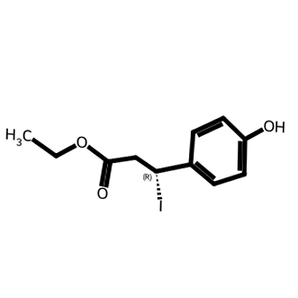 CCOC(=O)C[C@@H](I)c1ccc(O)cc1